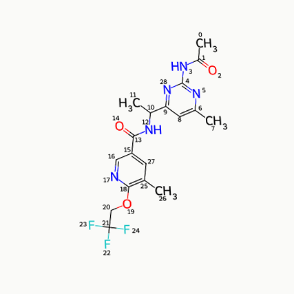 CC(=O)Nc1nc(C)cc(C(C)NC(=O)c2cnc(OCC(F)(F)F)c(C)c2)n1